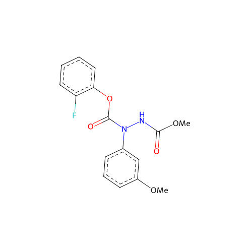 COC(=O)NN(C(=O)Oc1ccccc1F)c1cccc(OC)c1